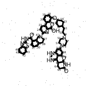 CNc1cc(N2CCN(CCCC3CCC(Oc4cccc(-c5ccc(N6CCc7cccc(C(=O)Nc8nc9ccccc9s8)c7C6)nc5C(=O)O)c4)CC3)CC2)ccc1C(=N)C1CCC(=O)NC1=O